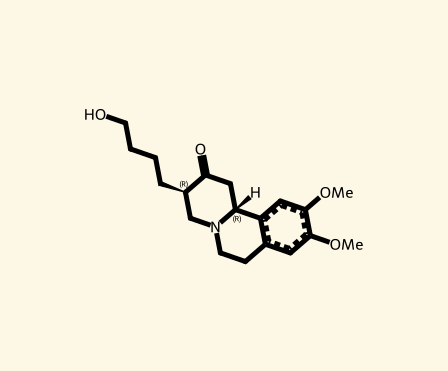 COc1cc2c(cc1OC)[C@H]1CC(=O)[C@H](CCCCO)CN1CC2